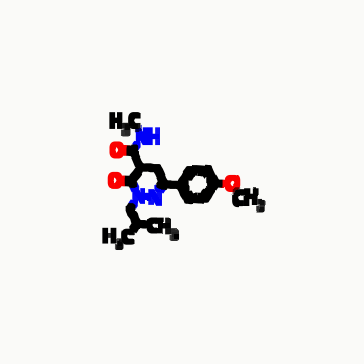 CNC(=O)C1CC(c2ccc(OC)cc2)=NN(CC(C)C)C1=O